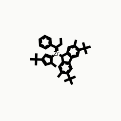 CC[C](c1ccccc1)=[Zr]([C]1=CC(C(C)(C)C)=CC1C)[CH]1c2cc(C)c(C(C)(C)C)cc2-c2cc(C(C)(C)C)c(C)cc21